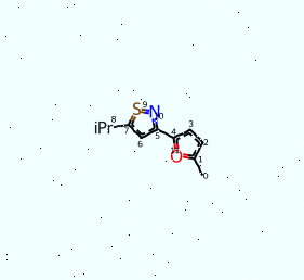 Cc1ccc(-c2cc(C(C)C)sn2)o1